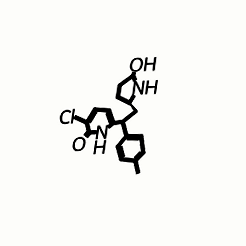 Cc1ccc(C(C[C@H]2CCC(O)N2)c2ccc(Cl)c(=O)[nH]2)cc1